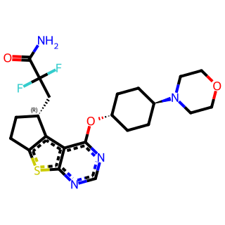 NC(=O)C(F)(F)C[C@H]1CCc2sc3ncnc(O[C@H]4CC[C@H](N5CCOCC5)CC4)c3c21